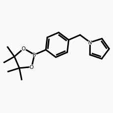 CC1(C)OB(c2ccc(Cn3cccc3)cc2)OC1(C)C